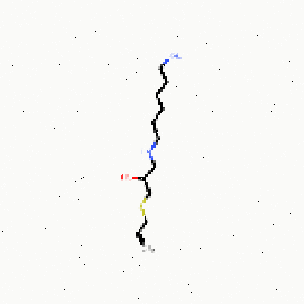 C=CCSCC(O)CNCCCCCCN